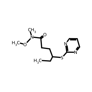 CCC(CCC(=O)N(C)OC)Sc1ncccn1